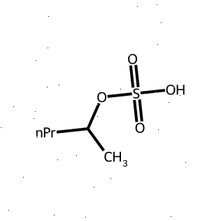 CCCC(C)OS(=O)(=O)O